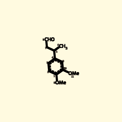 COc1ccc(C(C)CC=O)cc1OC